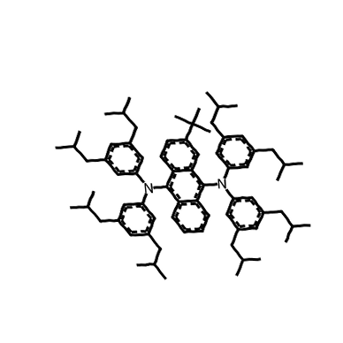 CC(C)Cc1cc(CC(C)C)cc(N(c2cc(CC(C)C)cc(CC(C)C)c2)c2c3ccccc3c(N(c3cc(CC(C)C)cc(CC(C)C)c3)c3cc(CC(C)C)cc(CC(C)C)c3)c3cc(C(C)(C)C)ccc23)c1